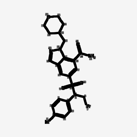 CCc1ccc(N(CC(C)C)S(=O)(=O)c2cc(C(N)=O)c3c(cnn3CC3CCOCC3)c2)cc1